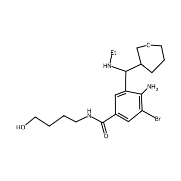 CCNC(c1cc(C(=O)NCCCCO)cc(Br)c1N)C1CCCCC1